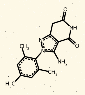 Cc1cc(C)c(-n2nc3c(c2N)C(=O)NC(=O)C3)c(C)c1